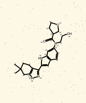 CC1(C)CCc2c(-c3cc4ccc(N(CCO)C(=O)C5CCOC5)cc4[nH]3)n[nH]c2C1